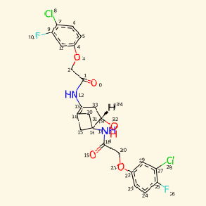 O=C(COc1ccc(Cl)c(F)c1)NC1=C2CC(NC(=O)COc3ccc(F)c(Cl)c3)(C2)[C@@H](O)C1